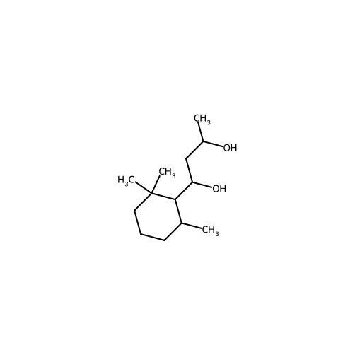 CC(O)CC(O)C1C(C)CCCC1(C)C